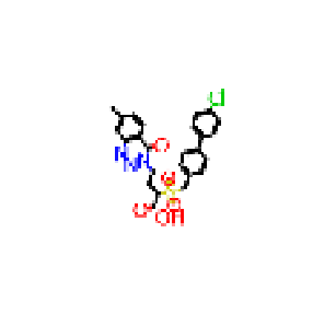 Cc1ccc2c(=O)n(CCC(C(=O)O)S(=O)(=O)Cc3ccc(-c4ccc(Cl)cc4)cc3)nnc2c1